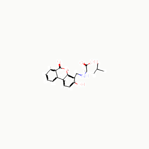 CC(C)C[C@H](NCc1c(O)ccc2c1oc(=O)c1ccccc12)C(=O)O